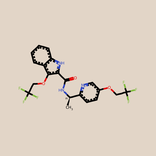 C[C@@H](NC(=O)c1[nH]c2ccccc2c1OCC(F)(F)F)c1ccc(OCC(F)(F)F)cn1